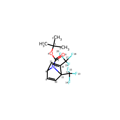 CC(C)(C)OC(=O)N1C2C=CC1(C(F)(F)F)C(C(F)(F)F)=C2